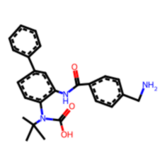 CC(C)(C)N(C(=O)O)c1ccc(-c2ccccc2)cc1NC(=O)c1ccc(CN)cc1